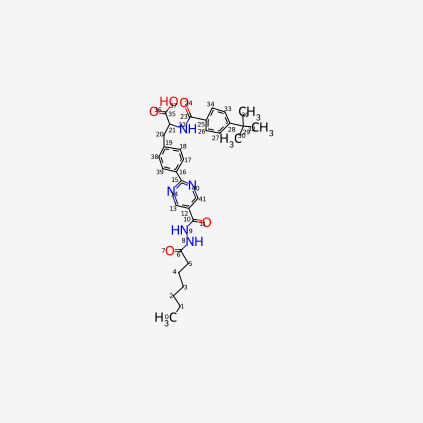 CCCCCCC(=O)NNC(=O)c1cnc(-c2ccc(CC(NC(=O)c3ccc(C(C)(C)C)cc3)C(=O)O)cc2)nc1